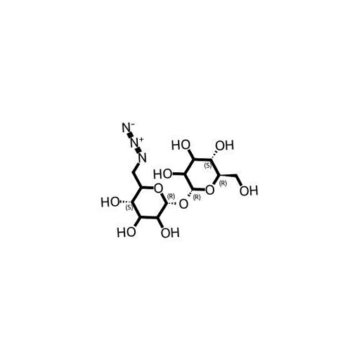 [N-]=[N+]=NCC1O[C@H](O[C@H]2O[C@H](CO)[C@@H](O)C(O)C2O)C(O)C(O)[C@@H]1O